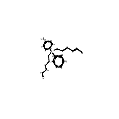 CCCCCC[P+](CCCCCC)(c1ccccc1)c1ccccc1.[I-]